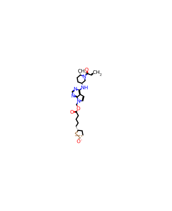 C=CC(=O)N1C[C@H](Nc2ncnc3c2ccn3COC(=O)CCCC[C@@H]2CC[S+]([O-])S2)CC[C@@H]1C